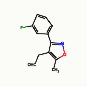 Cc1onc(-c2cccc(F)c2)c1CC=O